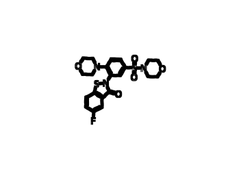 O=c1c2cc(F)ccc2sn1-c1cc(S(=O)(=O)N2CCOCC2)ccc1N1CCOCC1